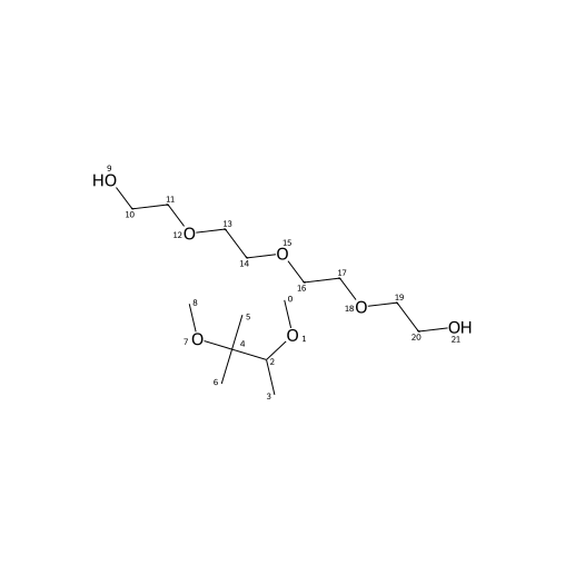 COC(C)C(C)(C)OC.OCCOCCOCCOCCO